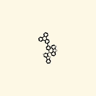 c1ccc2c(c1)oc1c(N(c3ccc(-c4ccc5c6ccccc6c6ccccc6c5c4)cc3)c3cccc4oc5ncccc5c34)cncc12